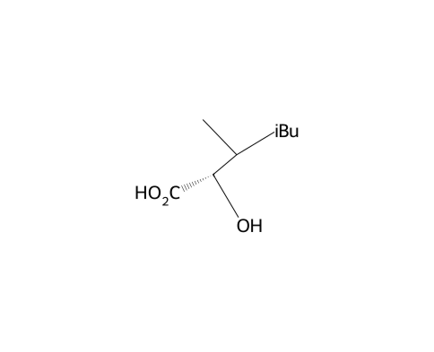 CCC(C)C(C)[C@H](O)C(=O)O